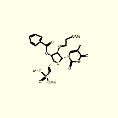 COCCO[C@@H]1[C@H](OC(=O)c2ccccc2)[C@@H](/C=C/P(=O)(OC)OC)O[C@H]1n1cc(C)c(=O)[nH]c1=O